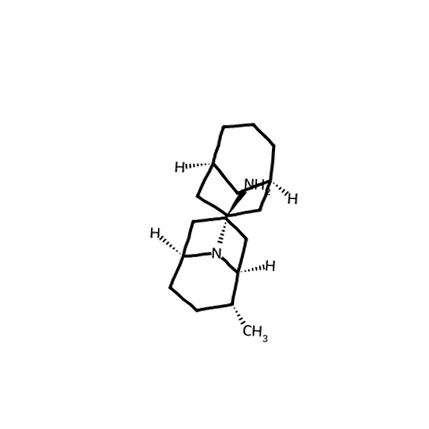 C[C@@H]1CC[C@H]2C[C@@H](N)C[C@@H]1N2[C@H]1C[C@@H]2CCC[C@@H](C2)C1